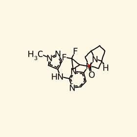 Cn1cc(Nc2nccc(N3CC4CC[C@H](C3)N4C(=O)C3CC3(F)F)n2)cn1